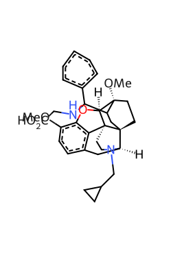 COc1ccc2c3c1O[C@@H]1[C@]34CCN(CC3CC3)[C@H](C2)[C@]42CC[C@@]1(OC)C(C(NCC(=O)O)c1ccccc1)C2